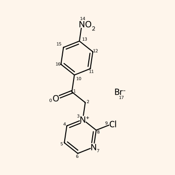 O=C(C[n+]1cccnc1Cl)c1ccc([N+](=O)[O-])cc1.[Br-]